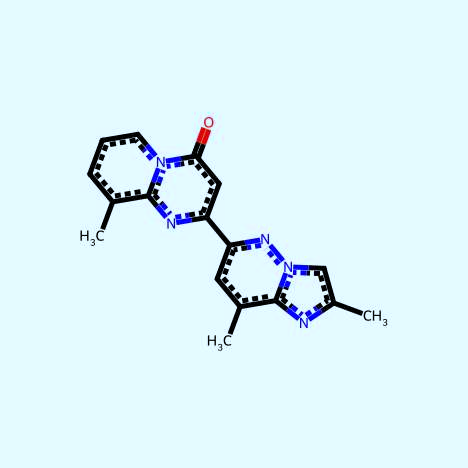 Cc1cn2nc(-c3cc(=O)n4cccc(C)c4n3)cc(C)c2n1